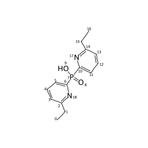 CCc1cccc(P(=O)(O)c2cccc(CC)n2)n1